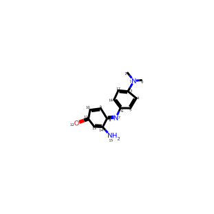 CN(C)c1ccc(N=C2C=CC(=O)C=C2N)cc1